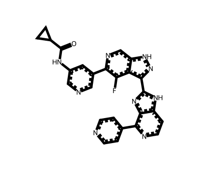 O=C(Nc1cncc(-c2ncc3[nH]nc(-c4nc5c(-c6ccncc6)nccc5[nH]4)c3c2F)c1)C1CC1